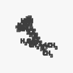 CCCN(CCC)CCCCN(CC(=O)N(C)C)Cc1ccc(CN(Cc2ncc[nH]2)C(C)c2ncc[nH]2)cc1